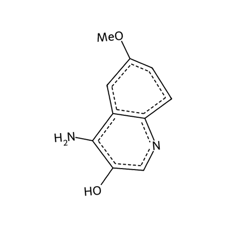 COc1ccc2ncc(O)c(N)c2c1